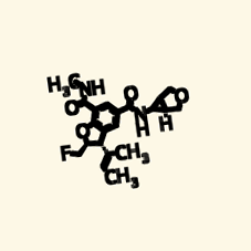 C/C=C(\C)[C@H]1c2cc(C(=O)NC3C4COC[C@H]43)cc(C(=O)NC)c2O[C@@H]1CF